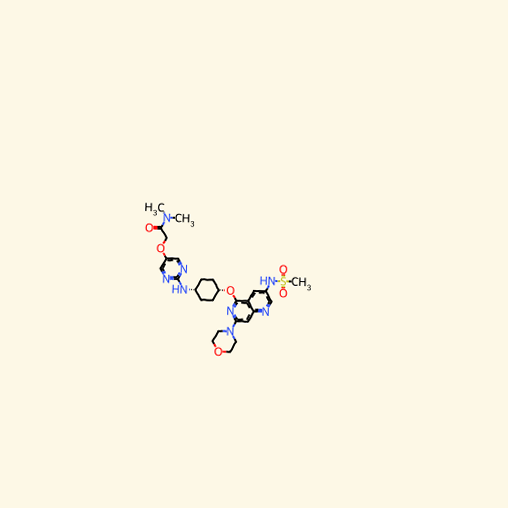 CN(C)C(=O)COc1cnc(N[C@H]2CC[C@@H](Oc3nc(N4CCOCC4)cc4ncc(NS(C)(=O)=O)cc34)CC2)nc1